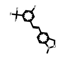 CB1OCc2cc(/C=C/c3cc(F)cc(C(F)(F)F)c3)ccc21